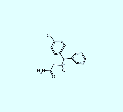 NC(=O)C[S+]([O-])C(c1ccccc1)c1ccc(Cl)cc1